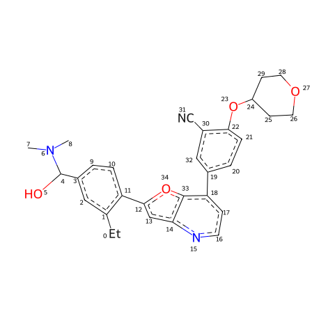 CCc1cc(C(O)N(C)C)ccc1-c1cc2nccc(-c3ccc(OC4CCOCC4)c(C#N)c3)c2o1